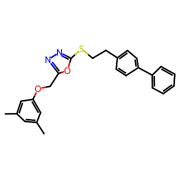 Cc1cc(C)cc(OCc2nnc(SCCc3ccc(-c4ccccc4)cc3)o2)c1